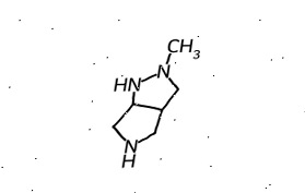 CN1CC2CNCC2N1